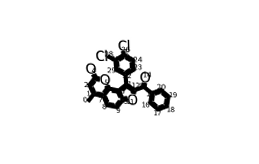 Cc1cc(=O)oc2c1ccc1oc(C(=O)c3ccccc3)c(-c3ccc(Cl)c(Cl)c3)c12